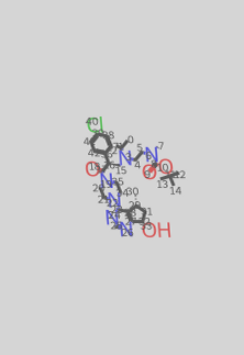 CC(C)N(CCN(C)C(=O)OC(C)(C)C)C[C@@H](C(=O)N1CCN(c2ncnc3c2[C@H](C)C[C@H]3O)CC1)c1ccc(Cl)cc1